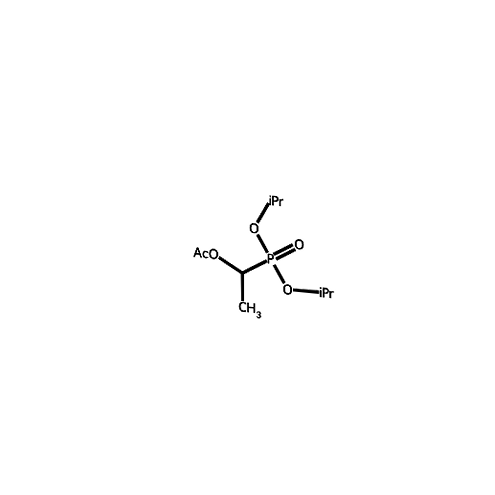 CC(=O)OC(C)P(=O)(OC(C)C)OC(C)C